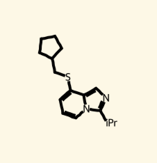 CC(C)c1ncc2c(SCC3CCCC3)cccn12